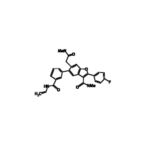 C=CNC(=O)c1cccc(-c2cc3c(C(=O)NC)c(-c4ccc(F)cc4)oc3cc2CC(=O)NC)c1